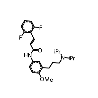 COc1ccc(NC(=O)C=Cc2c(F)cccc2F)cc1CCCN(C(C)C)C(C)C